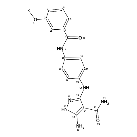 COc1cccc(C(=O)Nc2ccc(Nc3n[nH]c(N)c3C(N)=O)cc2)c1